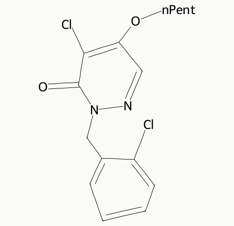 CCCCCOc1cnn(Cc2ccccc2Cl)c(=O)c1Cl